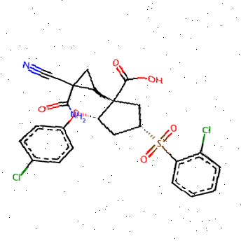 N#CC1(C(N)=O)CC1[C@@]1(C(=O)O)C[C@H](S(=O)(=O)c2ccccc2Cl)C[C@@H]1Oc1ccc(Cl)cc1